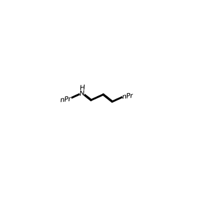 [CH2]CCNCCCCCC